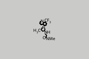 CNC(=O)CCN[C@@H]1C[C@H](C)CN(c2ccc(C(F)(F)F)c3ncccc23)C1